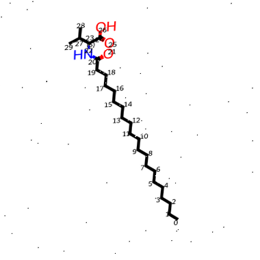 CCCCCCCCCCCCCCCCCCCCC(=O)N[C@H](C(=O)O)C(C)C